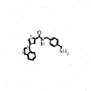 NCc1ccc(CNC(=O)c2cc(-n3cnc4ccccc43)cs2)cc1